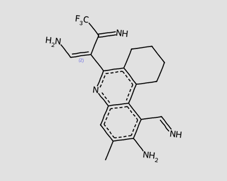 Cc1cc2nc(/C(=C/N)C(=N)C(F)(F)F)c3c(c2c(C=N)c1N)CCCC3